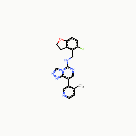 Fc1ccc2c(c1CNc1ncc(-c3cnccc3C(F)(F)F)c3nncn13)CCO2